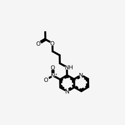 CC(=O)OCCCNc1c([N+](=O)[O-])cnc2cccnc12